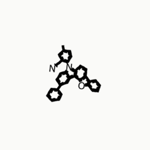 Cc1ccc(-n2c3ccc(-c4ccccc4)cc3c3c4oc5ccccc5c4ccc32)c(C#N)c1